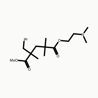 COC(=O)C(C)(CC(C)C)CC(C)(C)C(=O)OCCN(C)C